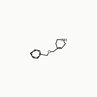 C1=C(COCc2ccccc2)CCNC1